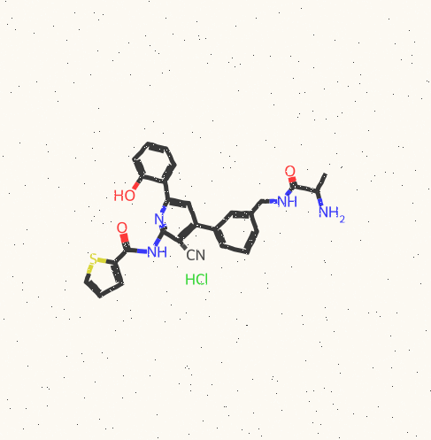 CC(N)C(=O)NCc1cccc(-c2cc(-c3ccccc3O)nc(NC(=O)c3cccs3)c2C#N)c1.Cl